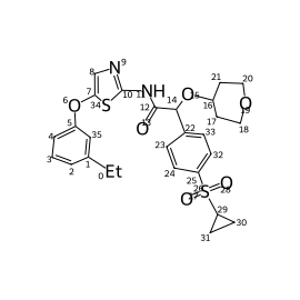 CCc1cccc(Oc2cnc(NC(=O)C(OC3CCOCC3)c3ccc(S(=O)(=O)C4CC4)cc3)s2)c1